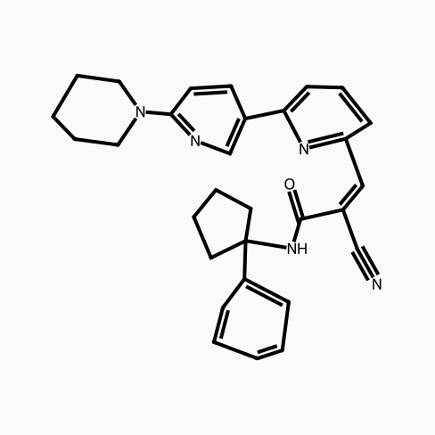 N#CC(=Cc1cccc(-c2ccc(N3CCCCC3)nc2)n1)C(=O)NC1(c2ccccc2)CCCC1